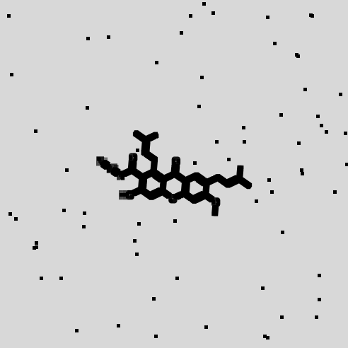 COc1cc2oc3cc(O)c(C(=O)N=[N+]=[N-])c(CC=C(C)C)c3c(=O)c2cc1CC=C(C)C